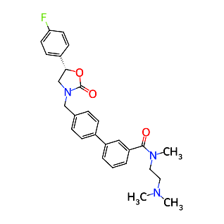 CN(C)CCN(C)C(=O)c1cccc(-c2ccc(CN3C[C@H](c4ccc(F)cc4)OC3=O)cc2)c1